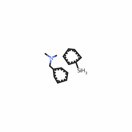 CN(C)Cc1ccccc1.[SiH3]c1ccccc1